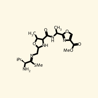 COC(=O)c1coc(C(C)NC(=O)C2NC(C/N=C(\SC)[C@@H](N)C(C)C)OC2C)n1